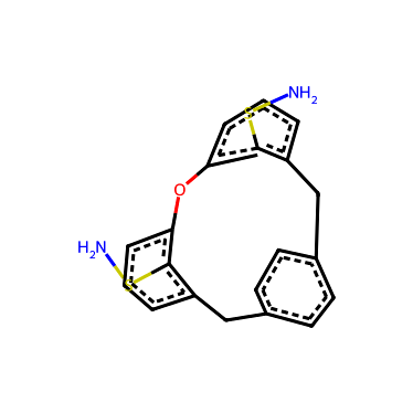 NSc1c2cccc1Oc1cccc(c1SN)Cc1ccc(cc1)C2